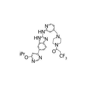 CC(C)Oc1cc(-c2ccc3nc(Nc4cc(CN5CCN(C(=O)CC(F)(F)F)CC5)ccn4)[nH]c3c2)ncn1